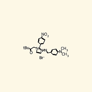 CN(C)c1ccc(C=N[n+]2ccn(CC(=O)C(C)(C)C)c2-c2ccc([N+](=O)[O-])cc2)cc1.[Br-]